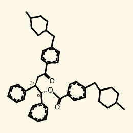 CC1CCC(Cc2ccc(C(=O)C[C@H](c3ccccc3)[C@H](OC(=O)c3ccc(CC4CCC(C)CC4)cc3)c3ccccc3)cc2)CC1